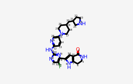 O=C1NCCc2[nH]c(-c3nc(Nc4ccc(N5CCC(CC6CCNC6)CC5)cn4)ncc3F)cc21